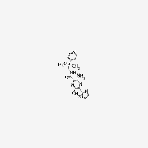 Cc1nc(C(=O)NCC(C)(C)c2ccncc2)c(N)nc1-c1ncco1